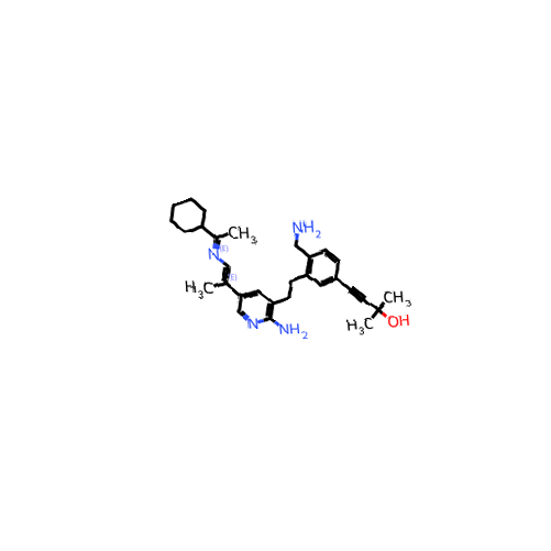 C/C(=C\N=C(/C)C1CCCCC1)c1cnc(N)c(CCc2cc(C#CC(C)(C)O)ccc2CN)c1